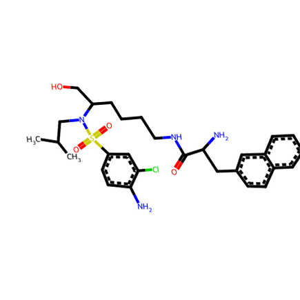 CC(C)CN(C(CO)CCCCNC(=O)C(N)Cc1ccc2ccccc2c1)S(=O)(=O)c1ccc(N)c(Cl)c1